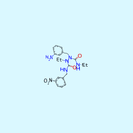 CCNC(=O)N(Cc1cccc(N)c1)N(CC)C(=O)NCc1cccc([N+](=O)[O-])c1